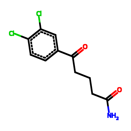 NC(=O)CCCC(=O)c1ccc(Cl)c(Cl)c1